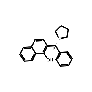 Oc1c([C@@H](c2ccccc2)N2CCCC2)ccc2ccccc12